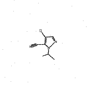 CC(C)n1n[c]c(Cl)c1C#N